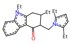 CCc1ccc(CC)n1CC1C(=O)c2c(n(CC)c3ccccc23)CC1CC